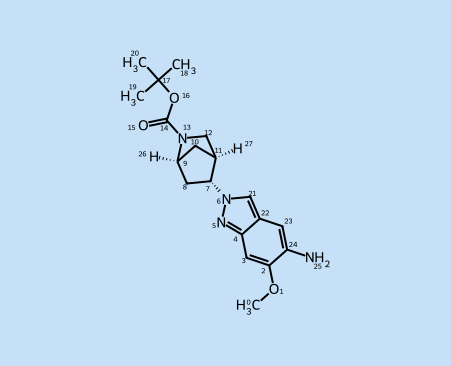 COc1cc2nn([C@@H]3C[C@@H]4C[C@H]3CN4C(=O)OC(C)(C)C)cc2cc1N